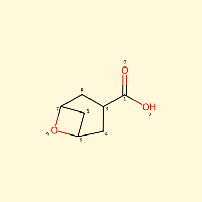 O=C(O)C1CC2CC(C1)O2